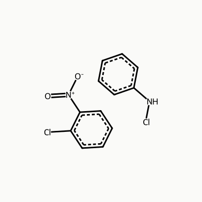 ClNc1ccccc1.O=[N+]([O-])c1ccccc1Cl